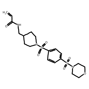 C=CC(=O)NCC1CCN(S(=O)(=O)c2ccc(S(=O)(=O)N3CCOCC3)cc2)CC1